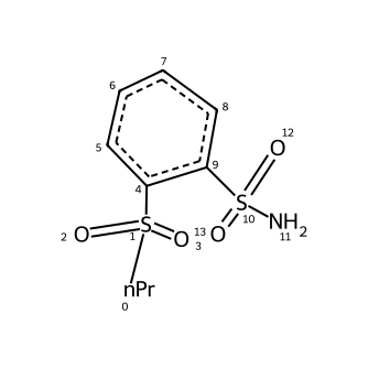 CCCS(=O)(=O)c1ccccc1S(N)(=O)=O